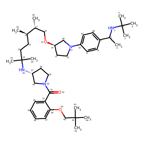 CC(NC(C)(C)C)c1ccc(N2CC[C@@H](OC[C@@H](C)[C@H](C)CCC(C)(C)N[C@@H]3CCN(C(=O)c4ccccc4OCC(C)(C)C)C3)C2)cc1